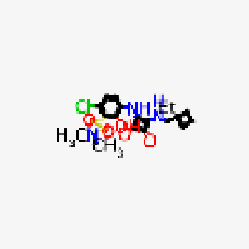 CCC1(CNc2c(Nc3ccc(Cl)c(S(=O)(=O)N(C)C)c3O)c(=O)c2=O)CCC1